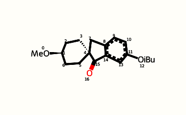 CO[C@H]1CC[C@]2(CC1)Cc1ccc(OCC(C)C)cc1C2=O